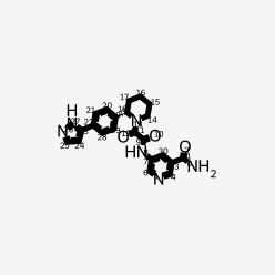 NC(=O)c1cncc(NC(=O)C(=O)N2CCCC[C@H]2c2ccc(-c3ccn[nH]3)cc2)c1